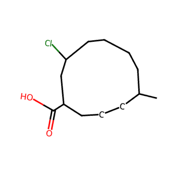 CC1CCCCC(Cl)CC(C(=O)O)CCC1